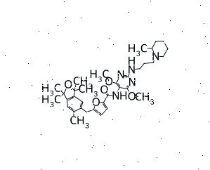 COc1nc(NCCCN2CCCCC2C)nc(OC)c1NC(=O)c1ccc(Cc2cc3c(cc2C)C(C)(C)OC3(C)C)o1